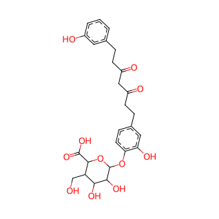 O=C(CCc1cccc(O)c1)CC(=O)CCc1ccc(OC2OC(C(=O)O)C(CO)C(O)C2O)c(O)c1